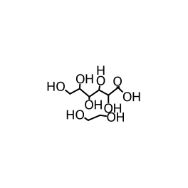 O=C(O)C(O)C(O)C(O)C(O)CO.OCCO